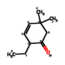 CCC1C=CC(C)(C)CC1=O